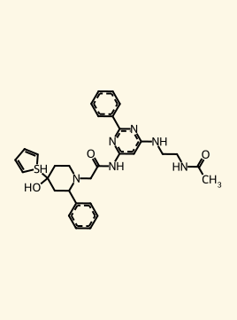 CC(=O)NCCNc1cc(NC(=O)CN2CCC(O)([SH]3C=CC=C3)CC2c2ccccc2)nc(-c2ccccc2)n1